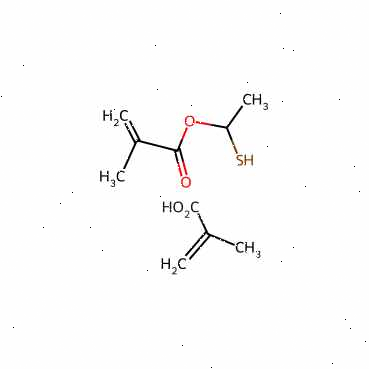 C=C(C)C(=O)O.C=C(C)C(=O)OC(C)S